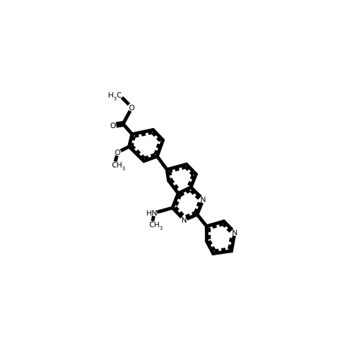 CNc1nc(-c2cccnc2)nc2ccc(-c3ccc(C(=O)OC)c(OC)c3)cc12